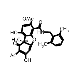 COc1cc(O)c2c(c1C(=O)NCc1c(C)cccc1C)OC1=CC(O)=C(C(C)=O)C(=O)[C@]12C